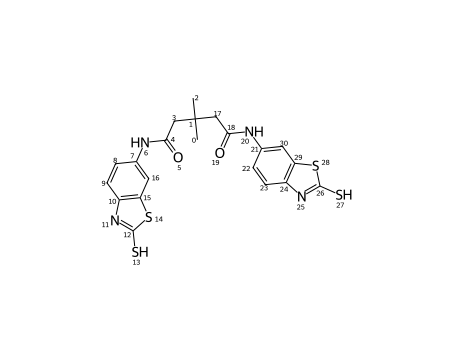 CC(C)(CC(=O)Nc1ccc2nc(S)sc2c1)CC(=O)Nc1ccc2nc(S)sc2c1